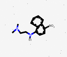 CCN(CCN(C)C)c1ccc([N+](=O)[O-])c2ccccc12